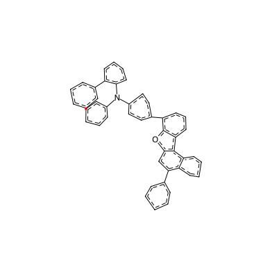 c1ccc(-c2ccccc2N(c2ccccc2)c2ccc(-c3cccc4c3oc3cc(-c5ccccc5)c5ccccc5c34)cc2)cc1